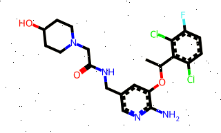 CC(Oc1cc(CNC(=O)CN2CCC(O)CC2)cnc1N)c1c(Cl)ccc(F)c1Cl